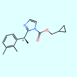 Cc1cccc([C@H](C)c2nccn2C(=O)OCC2CC2)c1C